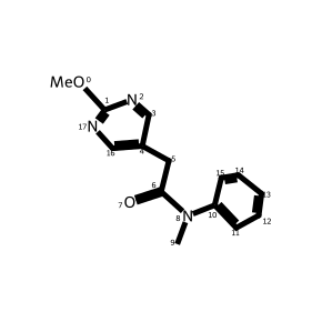 COc1ncc(CC(=O)N(C)c2ccccc2)cn1